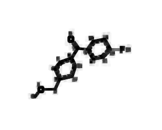 COCc1ccc(C(=O)c2ccc(F)cc2)cc1